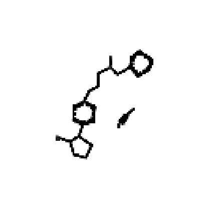 CC#N.CN(CCCc1ccc(C2CCCC2Br)cc1)Cc1ccccc1